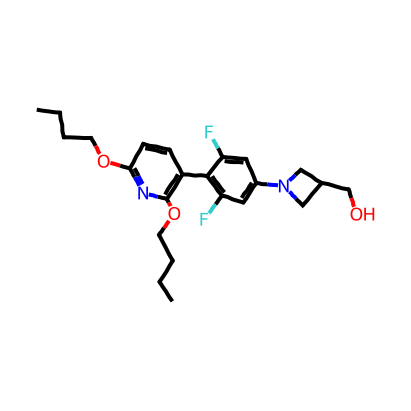 CCCCOc1ccc(-c2c(F)cc(N3CC(CO)C3)cc2F)c(OCCCC)n1